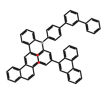 c1ccc(-c2cccc(-c3ccc(N(c4cccc(-c5cc6ccccc6c6ccccc56)c4)c4ccccc4-c4ccc5ccc6ccccc6c5c4)cc3)c2)cc1